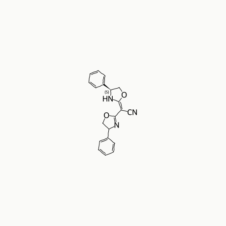 N#CC(C1=NC(c2ccccc2)CO1)=C1N[C@@H](c2ccccc2)CO1